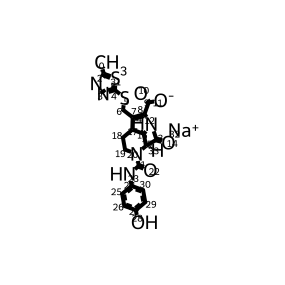 Cc1nnc(SCC2=C(C(=O)[O-])N3C(=O)[C@@H]4[C@H]3C2CCN4C(=O)Nc2ccc(O)cc2)s1.[Na+]